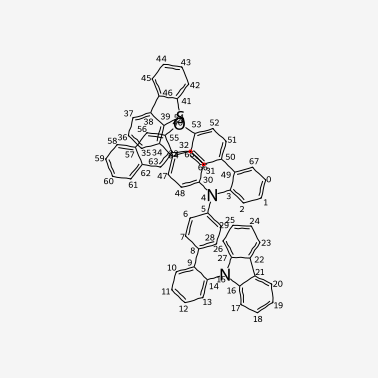 c1ccc(N(c2ccc(-c3ccccc3-n3c4ccccc4c4ccccc43)cc2)c2ccc(-c3cccc4c3sc3ccccc34)cc2)c(-c2ccc3oc4cc5ccccc5cc4c3c2)c1